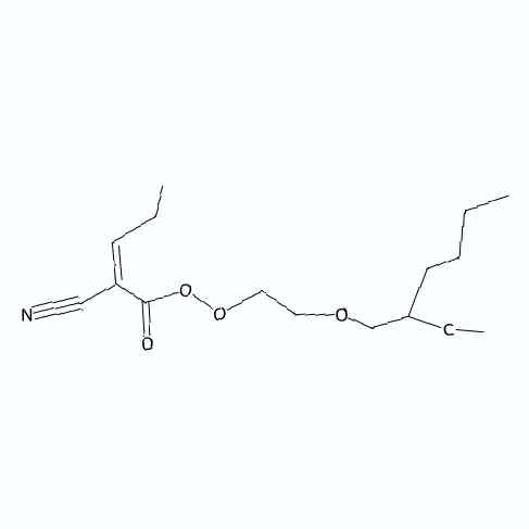 CCC=C(C#N)C(=O)OOCCOCC(CC)CCCC